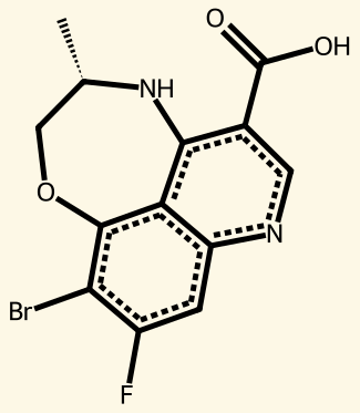 C[C@H]1COc2c(Br)c(F)cc3ncc(C(=O)O)c(c23)N1